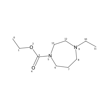 CCOC(=O)N1CCCN(CC)CC1